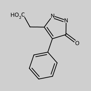 O=C(O)CC1=C(c2ccccc2)C(=O)N=N1